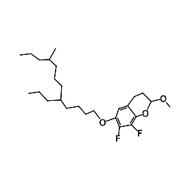 CCCC(C)CCCC(CCC)CCCCOc1cc2c(c(F)c1F)OC(OC)CC2